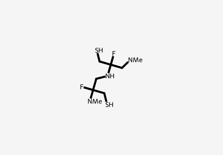 CNCC(F)(CS)NCC(F)(CS)NC